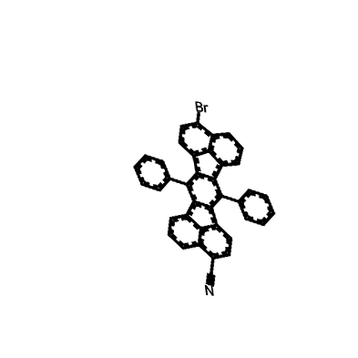 N#Cc1ccc2c3c(-c4ccccc4)c4c5cccc6c(Br)ccc(c4c(-c4ccccc4)c3c3cccc1c32)c65